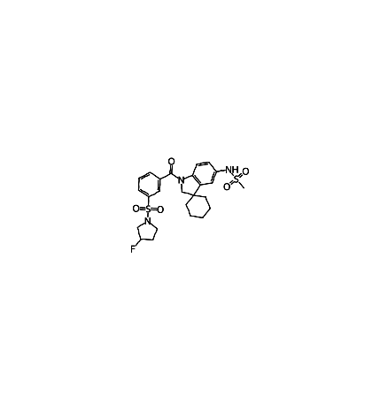 CS(=O)(=O)Nc1ccc2c(c1)C1(CCCCC1)CN2C(=O)c1cccc(S(=O)(=O)N2CCC(F)C2)c1